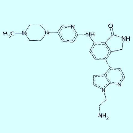 CN1CCN(c2ccc(Nc3ccc(-c4ccnc5c4ccn5CCN)c4c3C(=O)NC4)nc2)CC1